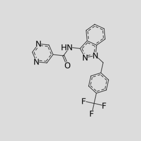 O=C(Nc1nn(Cc2ccc(C(F)(F)F)cc2)c2ccccc12)c1cncnc1